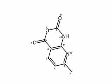 Cc1ccc2c(=O)oc(=O)[nH]c2n1